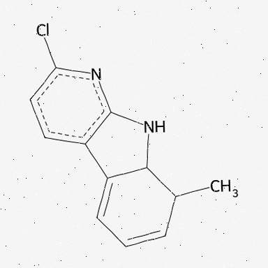 CC1C=CC=C2c3ccc(Cl)nc3NC21